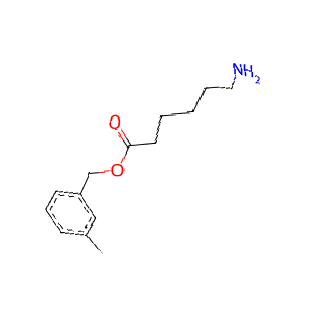 Cc1cccc(COC(=O)CCCCCN)c1